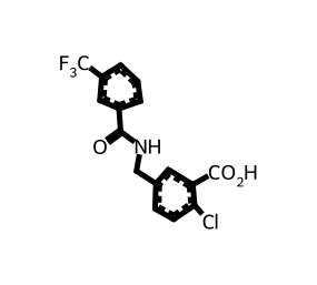 O=C(NCc1ccc(Cl)c(C(=O)O)c1)c1cccc(C(F)(F)F)c1